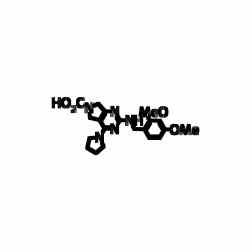 COc1ccc(CNc2nc3c(c(N4CCCC4)n2)CN(C(=O)O)C3)c(OC)c1